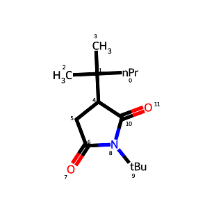 CCCC(C)(C)C1CC(=O)N(C(C)(C)C)C1=O